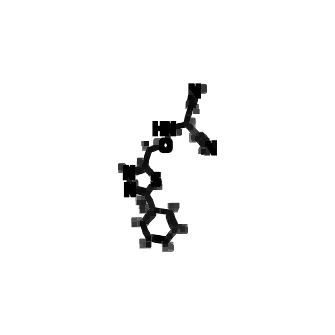 N#CC(C#N)NOCc1nnc(-c2ccccc2)s1